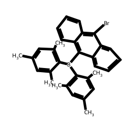 Cc1cc(C)c(B(c2c(C)cc(C)cc2C)c2c3ccccc3c(Br)c3ccccc23)c(C)c1